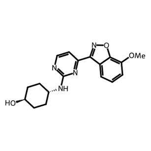 COc1cccc2c(-c3ccnc(N[C@H]4CC[C@H](O)CC4)n3)noc12